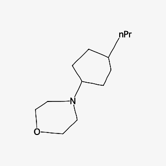 CCCC1CCC(N2CCOCC2)CC1